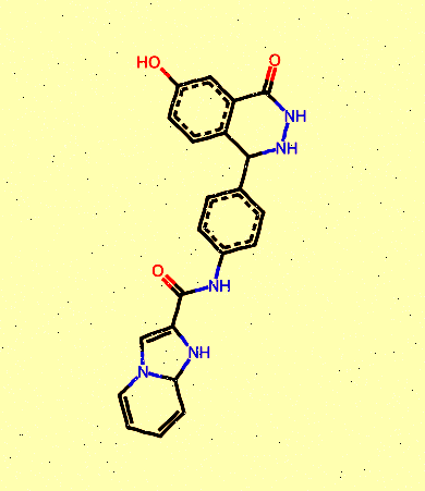 O=C(Nc1ccc(C2NNC(=O)c3cc(O)ccc32)cc1)C1=CN2C=CC=CC2N1